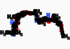 CCCCOCCOc1ccc(-c2ccc(OC)c(/C=C/C(=O)Nc3ccc([S@@+]([O-])Cc4c(C)ncn4CCCC(C)CCOCCOc4ccc(-c5ccc(OC)c(/C=C/C(=O)Nc6ccc([S@+]([O-])Cc7c(C)ncn7CCC)cc6)c5)cc4)cc3)c2)cc1